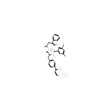 CN/C=C\C(=N)c1ccc(CC(C(=O)NC(C)Cc2c[nH]c3ccccc23)N(C)C(=O)c2cc(C)cc(C)c2)cc1